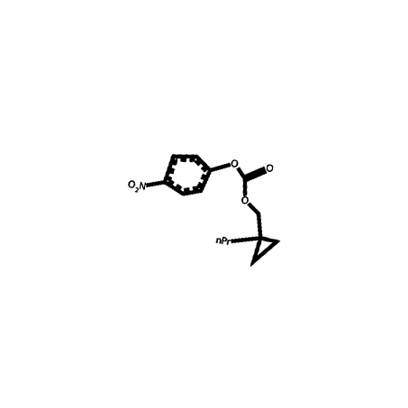 CCCC1(COC(=O)Oc2ccc([N+](=O)[O-])cc2)CC1